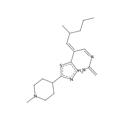 C=C(N)/N=C\C(=C/C(C)CCC)c1cnc(C2CCN(C)CC2)s1